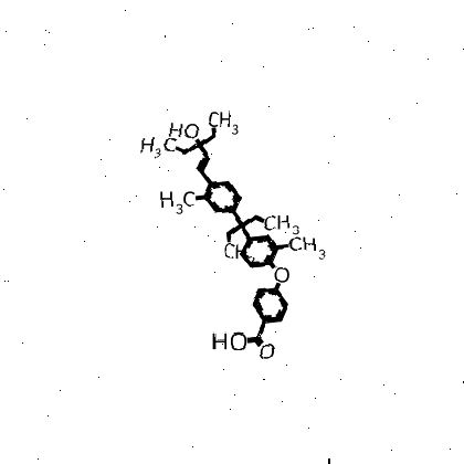 CCC(O)(C=Cc1ccc(C(CC)(CC)c2ccc(Oc3ccc(C(=O)O)cc3)c(C)c2)cc1C)CC